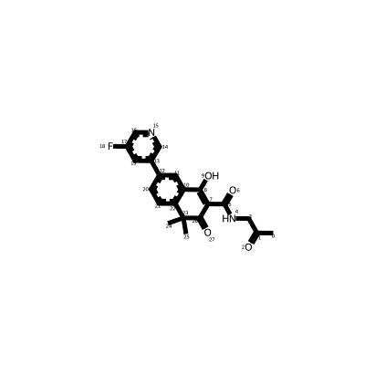 CC(=O)CNC(=O)C1=C(O)c2cc(-c3cncc(F)c3)ccc2C(C)(C)C1=O